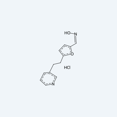 Cl.O/N=C\c1ccc(CCc2cccnc2)o1